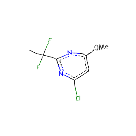 COc1cc(Cl)nc(C(C)(F)F)n1